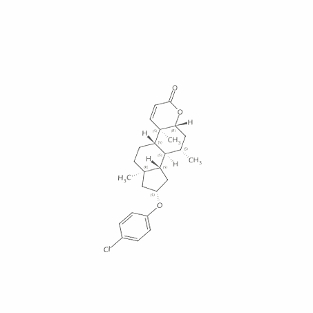 C[C@H]1C[C@H]2OC(=O)C=C[C@]2(C)[C@H]2CC[C@]3(C)C[C@@H](Oc4ccc(Cl)cc4)C[C@H]3[C@H]12